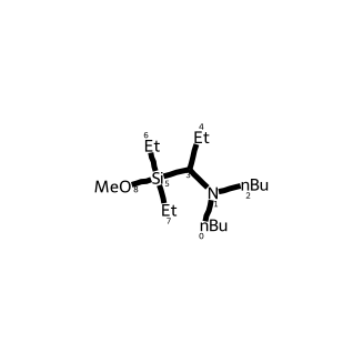 CCCCN(CCCC)C(CC)[Si](CC)(CC)OC